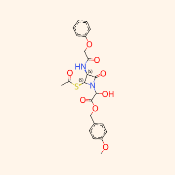 COc1ccc(COC(=O)C(O)N2C(=O)[C@H](NC(=O)COc3ccccc3)[C@@H]2SC(C)=O)cc1